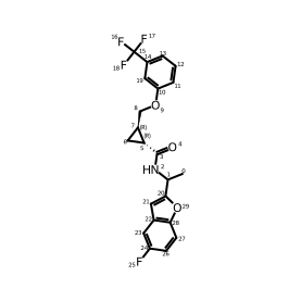 CC(NC(=O)[C@@H]1C[C@H]1COc1cccc(C(F)(F)F)c1)c1cc2cc(F)ccc2o1